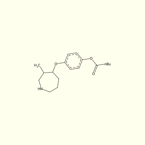 CCCCC(=O)Oc1ccc(OC2CCCNCC2C)cc1